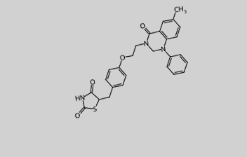 Cc1ccc2c(c1)C(=O)N(CCOc1ccc(CC3SC(=O)NC3=O)cc1)CN2c1ccccc1